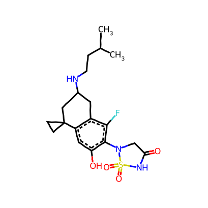 CC(C)CCNC1Cc2c(cc(O)c(N3CC(=O)NS3(=O)=O)c2F)C2(CC2)C1